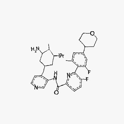 Cc1cc(C2CCOCC2)cc(F)c1-c1nc(C(=O)Nc2cnccc2C2CC(N)C(C)C(C(C)C)C2)ccc1F